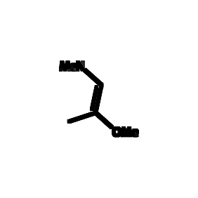 CN/C=C(\C)OC